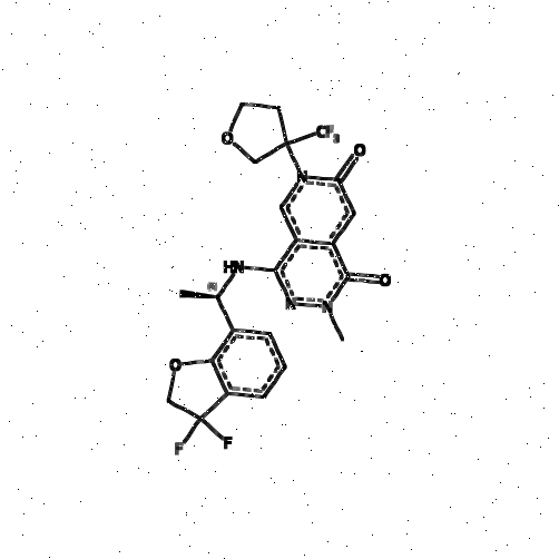 C[C@@H](Nc1nn(C)c(=O)c2cc(=O)n(C3(C(F)(F)F)CCOC3)cc12)c1cccc2c1OCC2(F)F